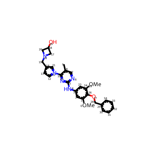 COc1cc(Nc2ncc(C)c(-n3ccc(CN4CC(O)C4)c3)n2)cc(OC)c1OCc1ccccc1